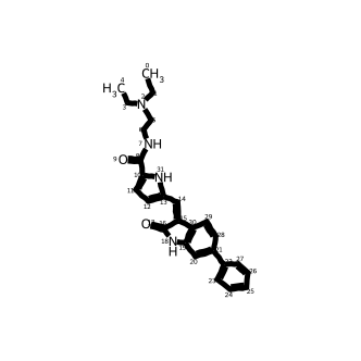 CCN(CC)CCNC(=O)c1ccc(/C=C2\C(=O)Nc3cc(-c4ccccc4)ccc32)[nH]1